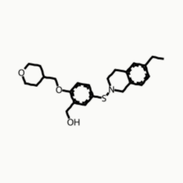 CCc1ccc2c(c1)CCN(Sc1ccc(OCC3CCOCC3)c(CO)c1)C2